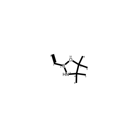 C=CB1NC(C)(C)C(C)(C)O1